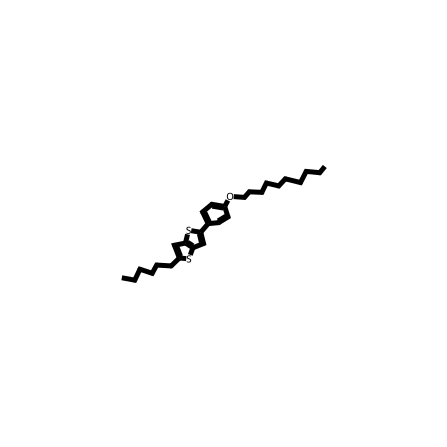 CCCCCCCCCCOc1ccc(-c2cc3sc(CCCCCC)cc3s2)cc1